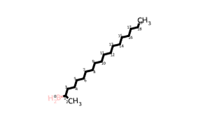 BC(C)CCCCCCCCCCCCCCCCC